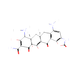 CN(C)c1cc2[nH]c(=O)oc2c2c1C[C@H]1C[C@H]3C(N(C)C)C(O)=C(C(N)=O)C(=O)[C@@]3(O)C(O)=C1C2=O